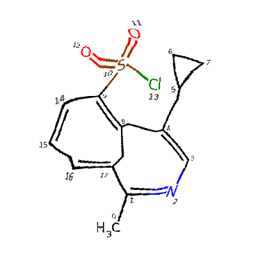 Cc1ncc(C2CC2)c2c(S(=O)(=O)Cl)cccc12